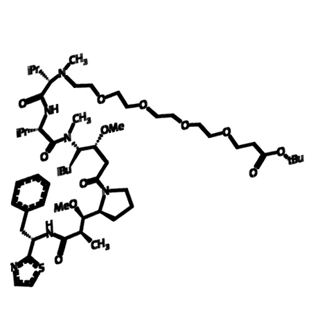 CC[C@H](C)[C@@H]([C@@H](CC(=O)N1CCC[C@H]1[C@H](OC)[C@@H](C)C(=O)N[C@@H](Cc1ccccc1)c1nccs1)OC)N(C)C(=O)[C@@H](NC(=O)[C@H](C(C)C)N(C)CCOCCOCCOCCOCCC(=O)OC(C)(C)C)C(C)C